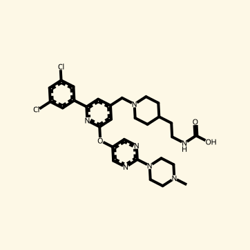 CN1CCN(c2ncc(Oc3cc(CN4CCC(CCNC(=O)O)CC4)cc(-c4cc(Cl)cc(Cl)c4)n3)cn2)CC1